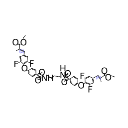 CCOC(=O)/C(C)=C/c1cc(F)c(Oc2ccc(S(=O)(=O)NCCCCNS(=O)(=O)c3ccc(Oc4c(F)cc(/C=C(\C)C(=O)OCC)cc4F)cc3)cc2)c(F)c1